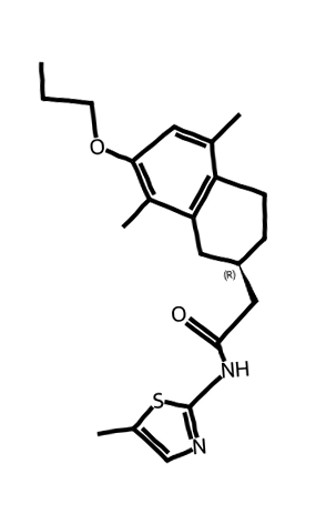 CCCOc1cc(C)c2c(c1C)C[C@H](CC(=O)Nc1ncc(C)s1)CC2